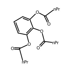 CCCC(=O)Oc1cccc(OC(=O)CCC)c1OC(=O)CCC